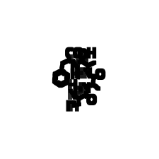 CC(NC(=O)C(C)NC(=O)C(N)C(C)C)C(=O)NC(Cc1ccccc1)C(=O)O